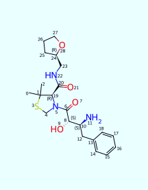 CC1(C)SCN(C(=O)[C@@H](O)[C@@H](N)Cc2ccccc2)[C@@H]1C(=O)NC[C@H]1CCCO1